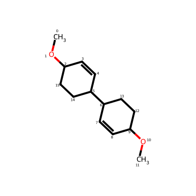 COC1C=CC(C2C=CC(OC)CC2)CC1